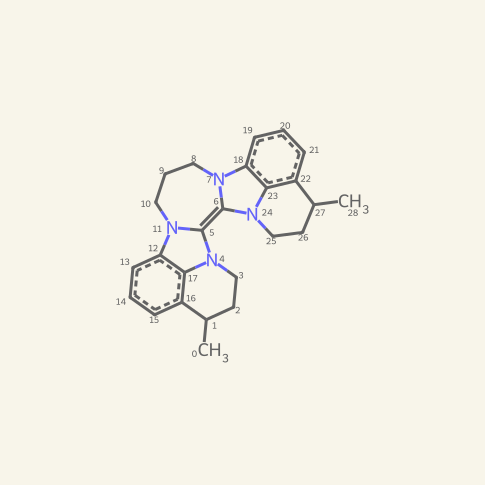 CC1CCN2C3=C4N(CCCN3c3cccc1c32)c1cccc2c1N4CCC2C